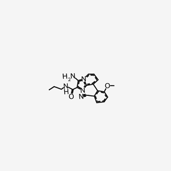 CCCNC(=O)c1nc2c(-c3c(C#N)cccc3OC)cccn2c1N